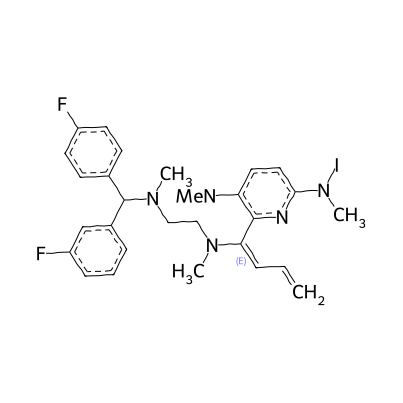 C=C/C=C(\c1nc(N(C)I)ccc1NC)N(C)CCN(C)C(c1ccc(F)cc1)c1cccc(F)c1